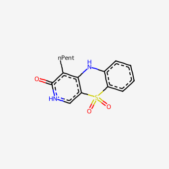 CCCCCc1c2c(c[nH]c1=O)S(=O)(=O)c1ccccc1N2